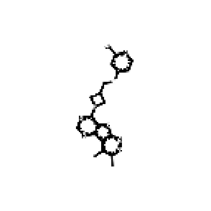 Cc1nnc2sc3c(N4CC(COc5ccnc(Cl)c5)C4)ncnc3c2c1C